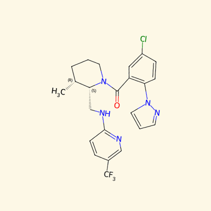 C[C@@H]1CCCN(C(=O)c2cc(Cl)ccc2-n2cccn2)[C@@H]1CNc1ccc(C(F)(F)F)cn1